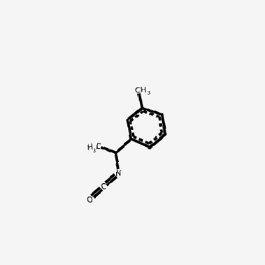 Cc1cccc(C(C)N=C=O)c1